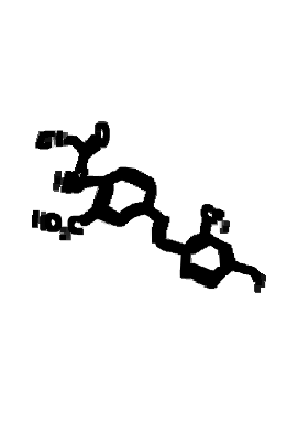 CCC(=O)Nc1ccc(C=Cc2ccc(F)cc2C(F)(F)F)cc1C(=O)O